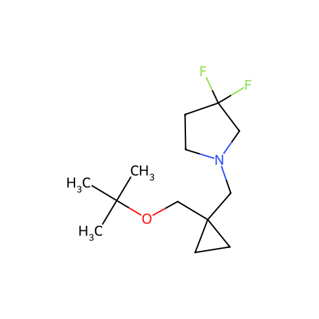 CC(C)(C)OCC1(CN2CCC(F)(F)C2)CC1